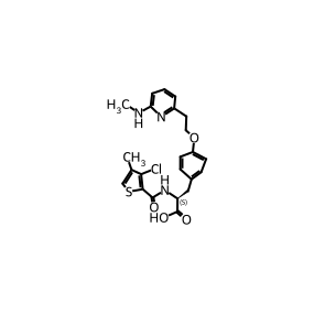 CNc1cccc(CCOc2ccc(C[C@H](NC(=O)c3scc(C)c3Cl)C(=O)O)cc2)n1